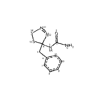 NC(=O)NC1(Cc2ccccc2)N=NSS1